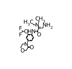 CCN(CC)[C@@H](CN)C(=O)Nc1ccc(N2CCOCC2=O)cc1OC(F)F